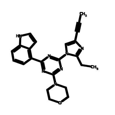 CC#Cc1cn(-c2nc(-c3cccc4[nH]ccc34)nc(N3CCOCC3)n2)c(CC)n1